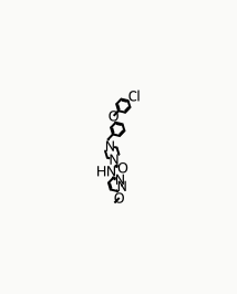 COc1ccc(NC(=O)N2CCN(Cc3cccc(Oc4ccc(Cl)cc4)c3)CC2)nn1